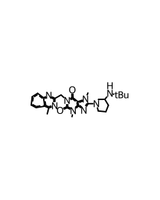 Cc1nc(Cn2c(=O)c3c(nc(N4CCCC(NC(C)(C)C)C4)n3C)n(C)c2=O)nc2ccccc12